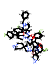 O=C(C(N1CCC(c2ccc(F)cc2)(c2ccc(F)cc2)C1=O)N1CCC(C(C(=O)N2CC3(CCNCC3)C2)c2ccc(F)cc2)(C(C(=O)N2CC3(CCNCC3)C2)c2ccc(F)cc2)C1=O)N1CC2(CCN(Cc3ccccc3)CC2)C1